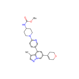 CC(C)(C)OC(=O)NC1CCN(c2ccc(-c3cc(C4=CCOCC4)cn4ncc(C#N)c34)cn2)CC1